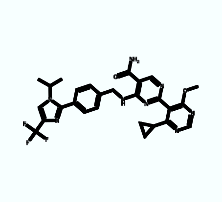 COc1ncnc(C2CC2)c1-c1ncc(C(N)=O)c(NCc2ccc(-c3nc(C(F)(F)F)cn3C(C)C)cc2)n1